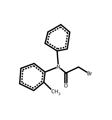 Cc1ccccc1N(C(=O)CBr)c1ccccc1